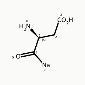 N[C@@H](CC(=O)O)[C](=O)[Na]